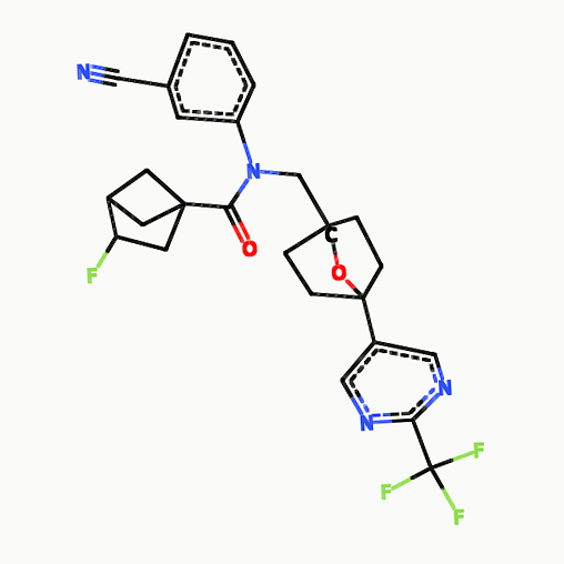 N#Cc1cccc(N(CC23CCC(c4cnc(C(F)(F)F)nc4)(CC2)OC3)C(=O)C23CC(F)C(C2)C3)c1